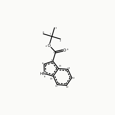 CC(C)(C)OC(=O)c1[c][nH]c2ccccc12